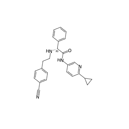 N#Cc1ccc(CCN[C@@H](C(=O)Nc2ccc(C3CC3)nc2)c2ccccc2)cc1